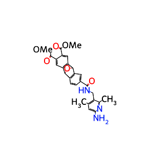 COC(=O)c1cc2c(cc1C(=O)OC)C1OC2c2ccc(C(=O)NCc3c(C)cc(N)nc3C)cc21